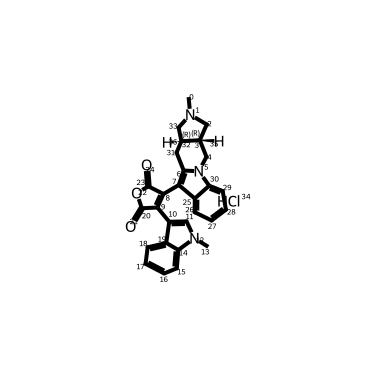 CN1C[C@@H]2Cn3c(c(C4=C(c5cn(C)c6ccccc56)C(=O)OC4=O)c4ccccc43)C[C@H]2C1.Cl